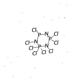 ClN1P(Cl)N=P(Cl)(Cl)N(Cl)P1(Cl)(Cl)Cl